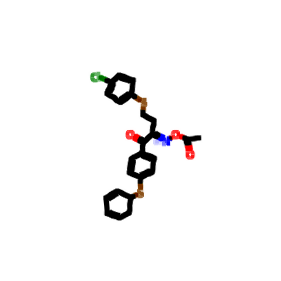 CC(=O)O/N=C(\CCSc1ccc(Cl)cc1)C(=O)c1ccc(SC2C=CC=CC2)cc1